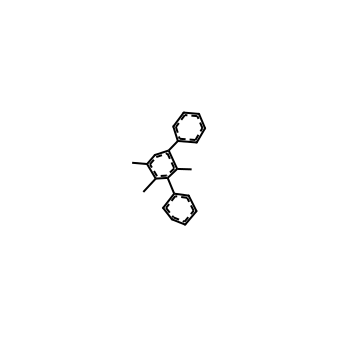 Cc1cc(-c2ccccc2)c(C)c(-c2ccccc2)c1C